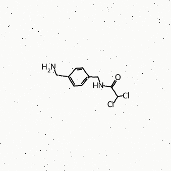 NCc1ccc(CNC(=O)C(Cl)Cl)cc1